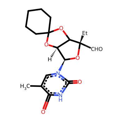 CC[C@@]1(C=O)O[C@@H](n2cc(C)c(=O)[nH]c2=O)[C@H]2OC3(CCCCC3)OC21